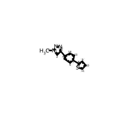 Cn1cc(-c2ccc(-c3cccs3)cc2)nn1